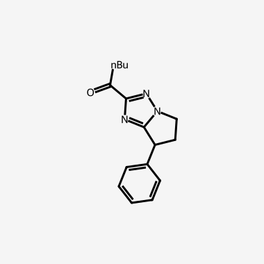 CCCCC(=O)c1nc2n(n1)CCC2c1ccccc1